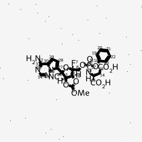 COC1O[C@@H]2[C@H](O1)[C@@](F)(COP(=O)(N[C@@H](CC(=O)O)C(=O)O)Oc1ccccc1)O[C@@]2(C#N)c1ccc2c(N)ncnn12